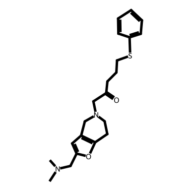 CN(C)Cc1cc2c(o1)CCN(CC(=O)CCCSc1ccccc1)C2